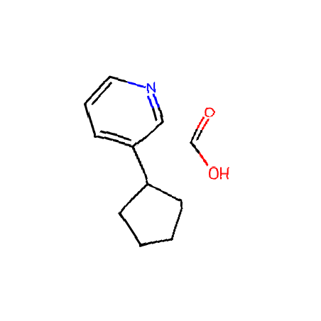 O=CO.c1cncc(C2CCCC2)c1